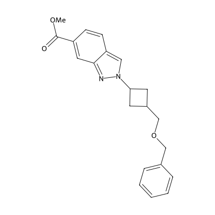 COC(=O)c1ccc2cn(C3CC(COCc4ccccc4)C3)nc2c1